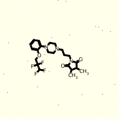 CC1C(=O)N(CCCN2CCN(c3ccccc3OCC(F)(F)C(F)F)CC2)C(=O)C1C